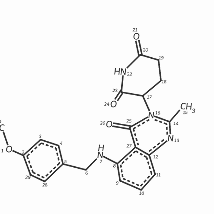 COc1ccc(CNc2cccc3nc(C)n(C4CCC(=O)NC4=O)c(=O)c23)cc1